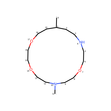 [CH2]C1CCNCCOCCN([CH2])CCOCCOCC1